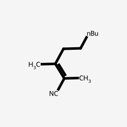 CCCCCCC(C)=C(C)C#N